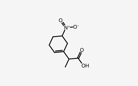 CC(C(=O)O)C1=CCCC([N+](=O)[O-])C1